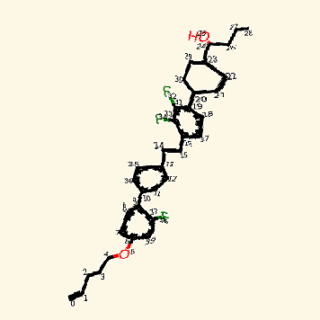 C=CCCCOc1ccc(-c2ccc(CCc3ccc(C4CCC(C(O)CCC)CC4)c(F)c3F)cc2)c(F)c1